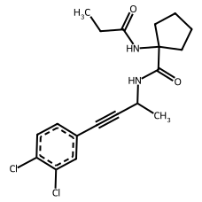 CCC(=O)NC1(C(=O)NC(C)C#Cc2ccc(Cl)c(Cl)c2)CCCC1